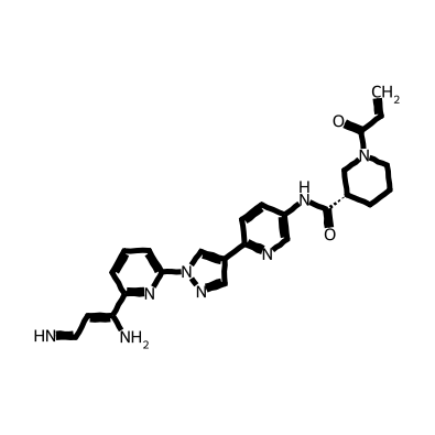 C=CC(=O)N1CCC[C@H](C(=O)Nc2ccc(-c3cnn(-c4cccc(/C(N)=C/C=N)n4)c3)nc2)C1